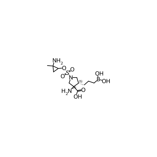 CC1(N)CC1OS(=O)(=O)N1C[C@H](CCCB(O)O)[C@](N)(C(=O)O)C1